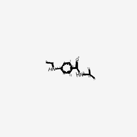 CCNc1ccc(C(=O)NC(C)C)cc1